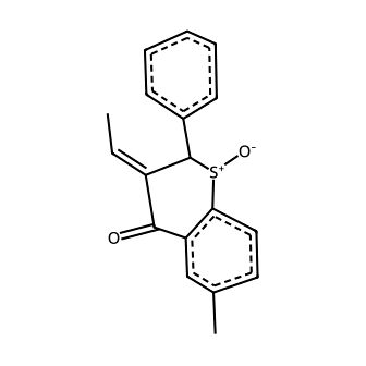 CC=C1C(=O)c2cc(C)ccc2[S+]([O-])C1c1ccccc1